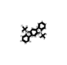 CC(C)(C)n1c2ccccc2c2cc3c(cc21)c1ccccc1n3C(C)(C)C